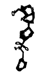 O=S(=O)(NCc1ccccc1)c1ccc(-c2ccc3nccc(Cl)c3n2)cc1